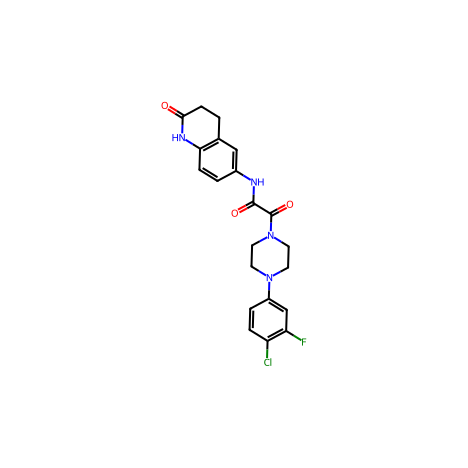 O=C1CCc2cc(NC(=O)C(=O)N3CCN(c4ccc(Cl)c(F)c4)CC3)ccc2N1